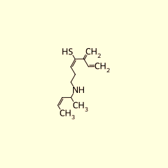 C=CC(=C)/C(S)=C\CCNC(C)/C=C\C